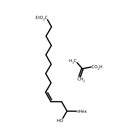 C=C(C)C(=O)O.CCCCCCC(O)C/C=C\CCCCCCCC(=O)OCC